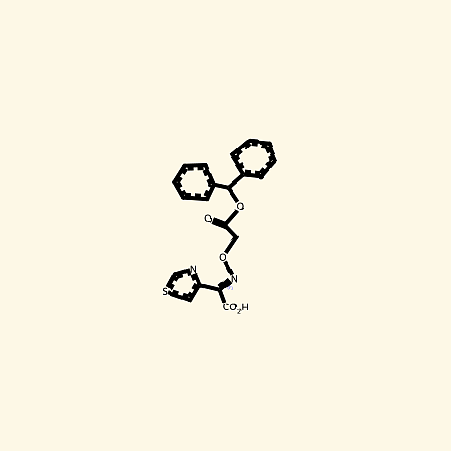 O=C(CO/N=C(/C(=O)O)c1cscn1)OC(c1ccccc1)c1ccccc1